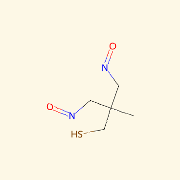 CC(CS)(CN=O)CN=O